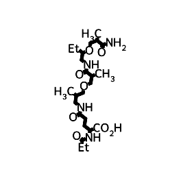 CCC(=O)NC(CCC(=O)NCC(C)COCC(C)C(=O)NCC(CC)OCC(C)C(N)=O)C(=O)O